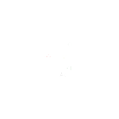 CC(C)=O.[O-][S+](Cl)Cl